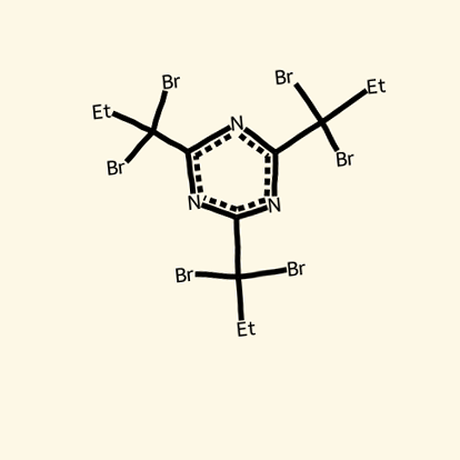 CCC(Br)(Br)c1nc(C(Br)(Br)CC)nc(C(Br)(Br)CC)n1